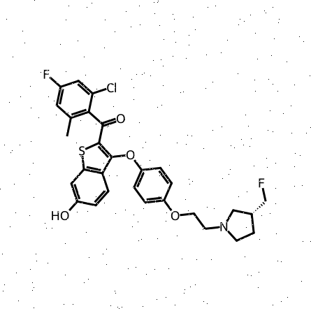 Cc1cc(F)cc(Cl)c1C(=O)c1sc2cc(O)ccc2c1Oc1ccc(OCCN2CC[C@@H](CF)C2)cc1